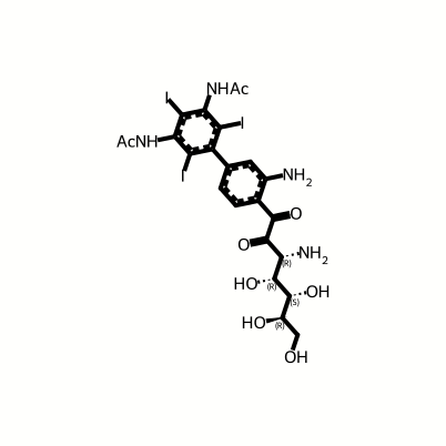 CC(=O)Nc1c(I)c(NC(C)=O)c(I)c(-c2ccc(C(=O)C(=O)[C@H](N)[C@@H](O)[C@H](O)[C@H](O)CO)c(N)c2)c1I